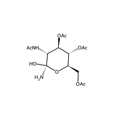 CC(=O)N[C@@H]1[C@@H](OC(C)=O)[C@H](OC(C)=O)[C@@H](COC(C)=O)O[C@@]1(N)O